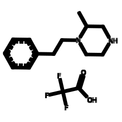 CC1CNCCN1CCc1ccccc1.O=C(O)C(F)(F)F